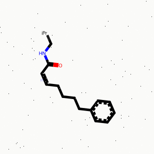 CC(C)CNC(=O)/C=C\CCCCc1ccccc1